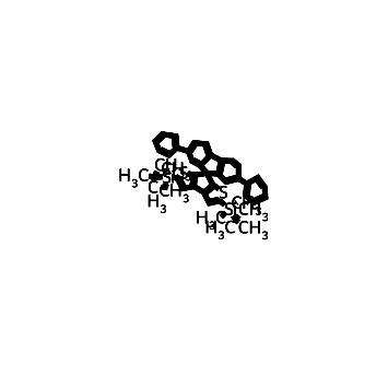 CC(C)(C)[Si](C)(C)c1cc2c(s1)C1(c3cc(-c4ccccc4)ccc3-c3ccc(-c4ccccc4)cc31)c1sc([Si](C)(C)C(C)(C)C)cc1-2